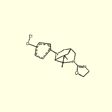 CCOc1ccc(N2CC3CN(C4=NCCO4)CC2C(C)(C)C3)cc1